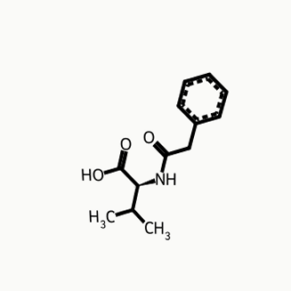 CC(C)[C@H](NC(=O)Cc1ccccc1)C(=O)O